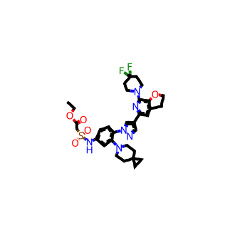 CCOC(=O)CS(=O)(=O)Nc1ccc(-n2cc(-c3cc4c(c(N5CCC(F)(F)CC5)n3)OCC4)cn2)c(N2CCC3(CC2)CC3)c1